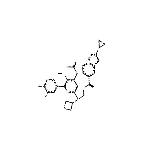 CCOc1c(CC(N)=O)cc([C@@](O)(CNC(=O)c2ccn3nc(C4CC4)cc3c2)C2CCC2)nc1-c1ccc(F)c(Cl)c1